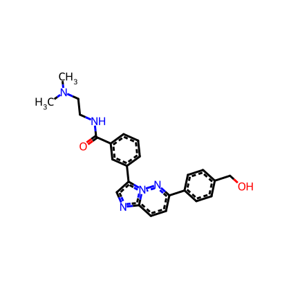 CN(C)CCNC(=O)c1cccc(-c2cnc3ccc(-c4ccc(CO)cc4)nn23)c1